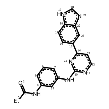 CCC(=O)Nc1cccc(Nc2nccc(-c3ccc4[nH]cnc4c3)n2)c1